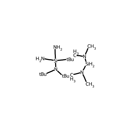 CC(C)(C)N(C(C)(C)C)[Si](N)(N)C(C)(C)C.CN(C)[SiH2]N(C)C